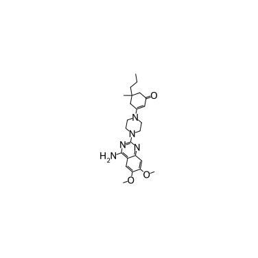 CCCC1(C)CC(=O)C=C(N2CCN(c3nc(N)c4cc(OC)c(OC)cc4n3)CC2)C1